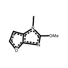 COc1nc2occc2n1C